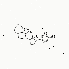 CC12CCCCC1CCC1C2CCC2(C)C(c3ccc(=O)oc3)CCC12